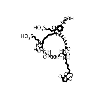 CC1=NN(CCCS(=O)(=O)O)/C2=C/C=C/C=C/C3=[N+](CCCCCC(=O)NC(C(=O)NCCCCCC(=O)ON4C(=O)CCC4=O)CCCCNC(=O)CCC12C)c1ccc(SOOO)cc1C3(C)CCCS(=O)(=O)O